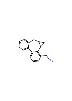 NCc1cccc2c1C1CC1Cc1ccccc1-2